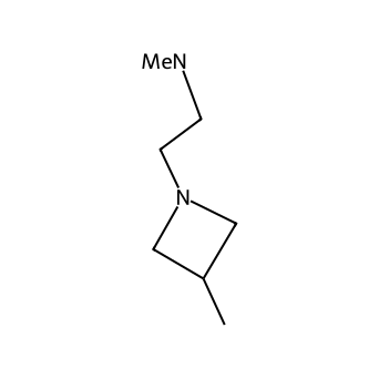 CNCCN1CC(C)C1